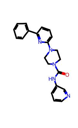 O=C(Nc1cccnc1)N1CCN(c2cccc(-c3ccccc3)n2)CC1